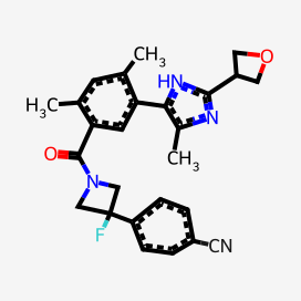 Cc1cc(C)c(-c2[nH]c(C3COC3)nc2C)cc1C(=O)N1CC(F)(c2ccc(C#N)cc2)C1